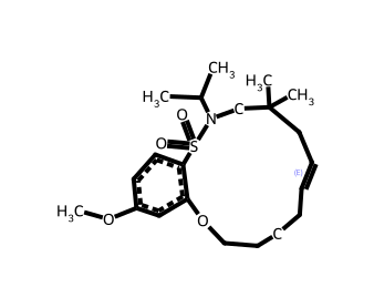 COc1ccc2c(c1)OCCCC/C=C/CC(C)(C)CN(C(C)C)S2(=O)=O